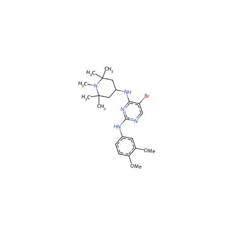 COc1ccc(Nc2ncc(Br)c(NC3CC(C)(C)N(C)C(C)(C)C3)n2)cc1OC